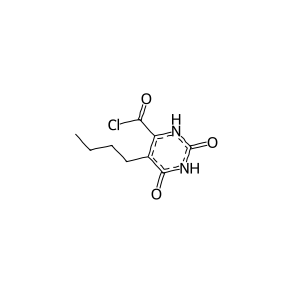 CCCCc1c(C(=O)Cl)[nH]c(=O)[nH]c1=O